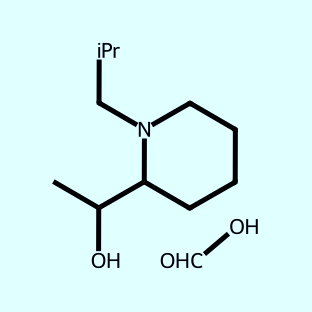 CC(C)CN1CCCCC1C(C)O.O=CO